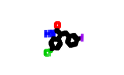 O=C1Nc2cc(Cl)ccc2/C1=C\c1cccc(I)c1